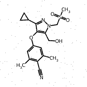 Cc1cc(Oc2c(C3CC3)nn(CS(C)(=O)=O)c2CO)cc(C)c1C#N